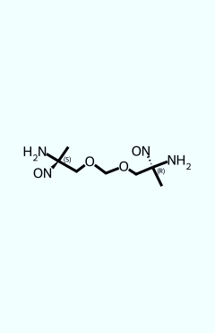 C[C@](N)(COCOC[C@@](C)(N)N=O)N=O